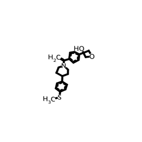 C=C(c1ccc(C2(O)COC2)cc1)N1CCC(c2ccc(SC)cc2)CC1